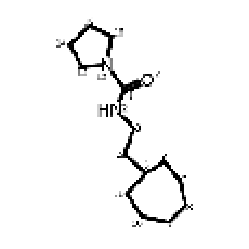 O=C(NCCC1CCCCCC1)N1CCCC1